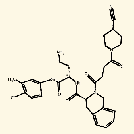 Cc1cc(NC(=O)[C@H](CCN)NC(=O)[C@@H]2Cc3ccccc3CN2C(=O)CCC(=O)N2CCC(C#N)CC2)ccc1Cl